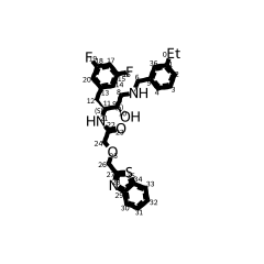 CCc1cccc(CNC[C@H](O)[C@H](Cc2cc(F)cc(F)c2)NC(=O)COCc2nc3ccccc3s2)c1